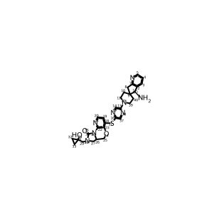 N[C@@H]1c2cccnc2CC12CCN(c1cnc(Sc3ccnc4c3OCC3CN(CC5(O)CC5)C(=O)N43)cn1)CC2